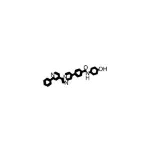 O=C(NC1CCC(O)CC1)c1ccc(-c2ccn3c(-c4ccnc(-c5ccccc5)c4)cnc3c2)cc1